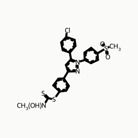 CN(O)C(=S)Sc1ccc(-c2cc(-c3ccc(Cl)cc3)n(-c3ccc(S(C)(=O)=O)cc3)n2)cc1